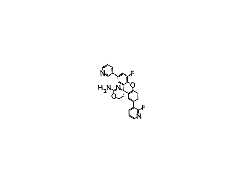 NC1=N[C@]2(CCO1)c1cc(-c3cccnc3F)ccc1Oc1c(F)cc(-c3cccnc3)cc12